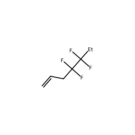 C=CCC(F)(F)C(F)(F)CC